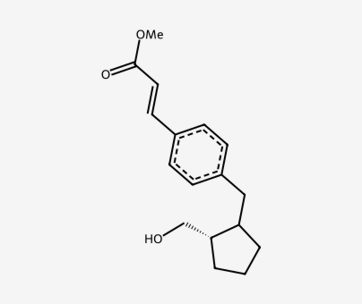 COC(=O)/C=C/c1ccc(CC2CCC[C@@H]2CO)cc1